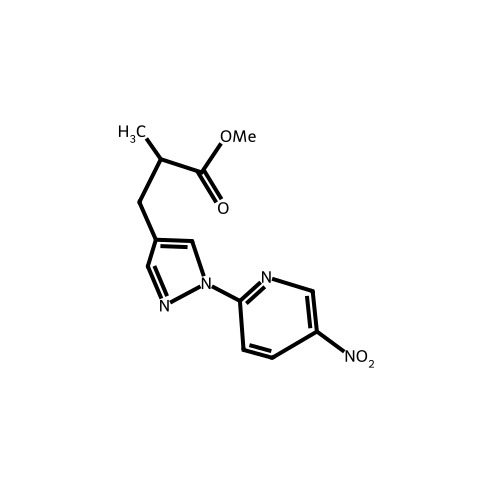 COC(=O)C(C)Cc1cnn(-c2ccc([N+](=O)[O-])cn2)c1